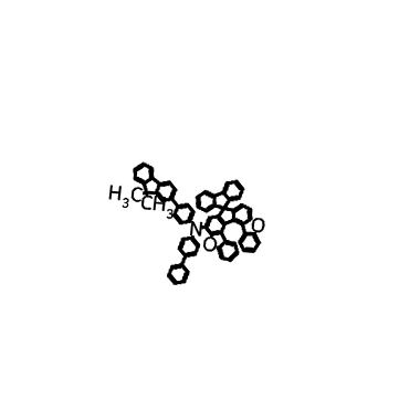 CC1(C)c2ccccc2-c2ccc(-c3ccc(N(c4ccc(-c5ccccc5)cc4)c4cc5c(c6c4oc4ccccc46)-c4c(ccc6oc7ccccc7c46)C54c5ccccc5-c5ccccc54)cc3)cc21